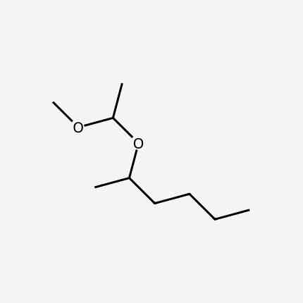 CCCCC(C)OC(C)OC